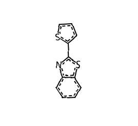 c1csc(-c2nc3ccccc3s2)c1